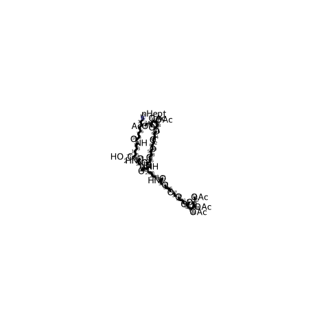 CCCCCCC/C=C/CCCCCCC(=O)NCCCC[C@H](NC(=O)CNC(=O)[C@H](CCCCNC(=O)COCCOCCOCCO[C@H]1C[C@@H](OC(C)=O)[C@@H](OC(C)=O)[C@@H](COC(C)=O)O1)NC(=O)COCCOCCOCCO[C@H]1C[C@@H](OC(C)=O)[C@@H](OC(C)=O)[C@@H](COC(C)=O)O1)C(=O)O